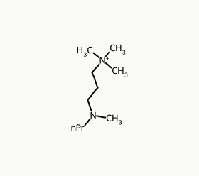 CCCN(C)CCC[N+](C)(C)C